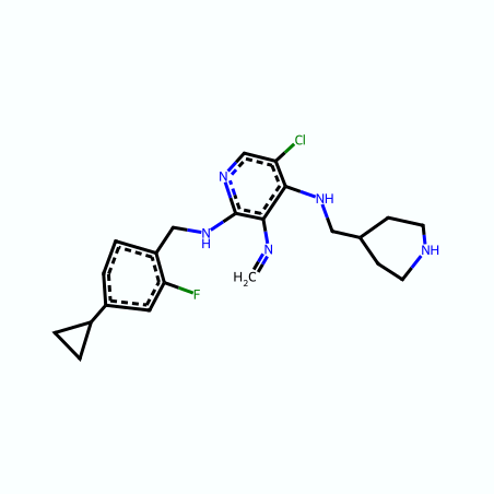 C=Nc1c(NCc2ccc(C3CC3)cc2F)ncc(Cl)c1NCC1CCNCC1